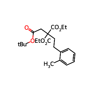 CCOC(=O)C(CCc1ccccc1C)(CC(=O)OC(C)(C)C)C(=O)OCC